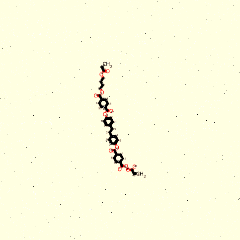 C=CC(=O)OCCCCOC(=O)C1CCC(C(=O)Oc2ccc(CCc3ccc(OC(=O)C4CCC(C(=O)OOC(=O)C=C)CC4)cc3)cc2)CC1